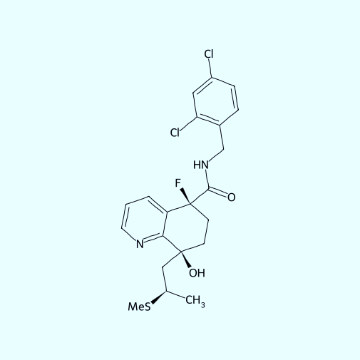 CS[C@H](C)C[C@@]1(O)CC[C@@](F)(C(=O)NCc2ccc(Cl)cc2Cl)c2cccnc21